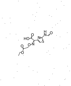 CCOC(=O)CON=C(C(=O)O)c1csc(NC=O)n1